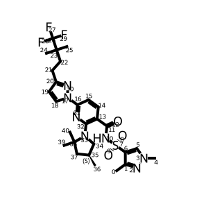 Cc1nn(C)cc1S(=O)(=O)NC(=O)c1ccc(-n2ccc(CCC(C)(C)C(F)(F)F)n2)nc1N1C[C@@H](C)CC1(C)C